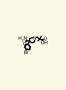 CC(C)(CN1CCC(C(N)=O)(c2ccc(Br)cc2)CC1)C(=O)O